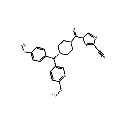 COc1ccc(C(c2ccc(OC)nc2)N2CCN(C(=O)n3cnc(C#N)n3)CC2)cn1